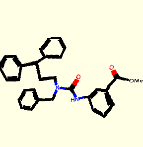 COC(=O)c1cccc(NC(=O)N(CCC(c2ccccc2)c2ccccc2)Cc2ccccc2)c1